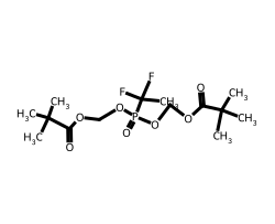 CC(C)(C)C(=O)OCOP(=O)(OCOC(=O)C(C)(C)C)C(C)(F)F